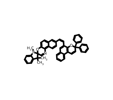 CN1c2ccccc2C(C)(C)C12C=Nc1c(ccc3cc(/C=C\c4cc5ccccc5c5c4OC(c4ccccc4)(c4ccccc4)C=C5)ccc13)O2